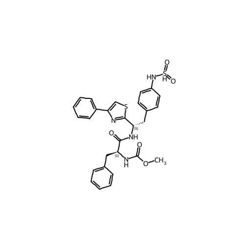 COC(=O)N[C@@H](Cc1ccccc1)C(=O)N[C@@H](Cc1ccc(N[SH](=O)=O)cc1)c1nc(-c2ccccc2)cs1